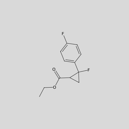 CCOC(=O)C1CC1(F)c1ccc(F)cc1